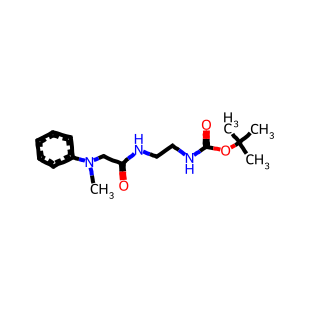 CN(CC(=O)NCCNC(=O)OC(C)(C)C)c1ccccc1